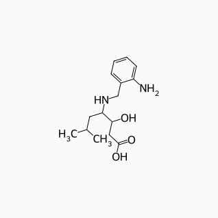 CC(C)CC(NCc1ccccc1N)C(O)CC(=O)O